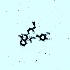 C#C/C=C(Cl)\C=C/C[C@@H]1NC(=O)c2ccccc2[C@H]1C(=O)NOCc1ccc(O)c(O)c1